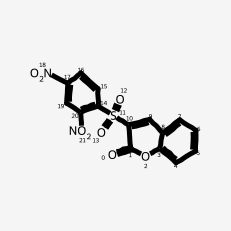 O=c1oc2ccccc2cc1S(=O)(=O)c1ccc([N+](=O)[O-])cc1[N+](=O)[O-]